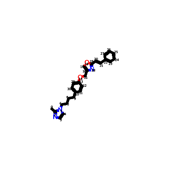 Cc1nccn1CCCCc1ccc(OCc2coc(C=Cc3ccccc3)n2)cc1